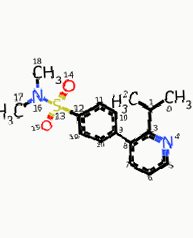 CC(C)c1ncccc1-c1ccc(S(=O)(=O)N(C)C)cc1